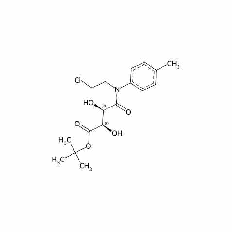 Cc1ccc(N(CCCl)C(=O)[C@H](O)[C@@H](O)C(=O)OC(C)(C)C)cc1